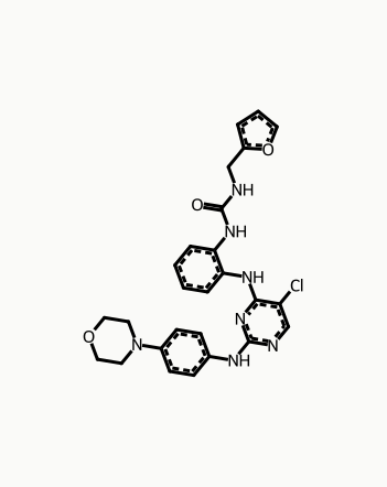 O=C(NCc1ccco1)Nc1ccccc1Nc1nc(Nc2ccc(N3CCOCC3)cc2)ncc1Cl